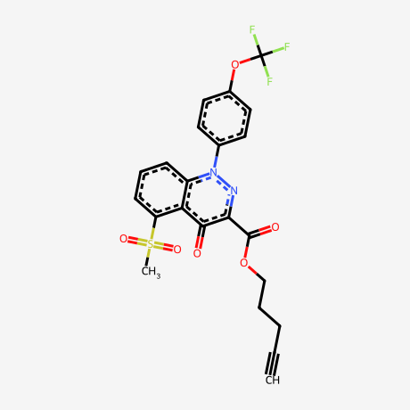 C#CCCCOC(=O)c1nn(-c2ccc(OC(F)(F)F)cc2)c2cccc(S(C)(=O)=O)c2c1=O